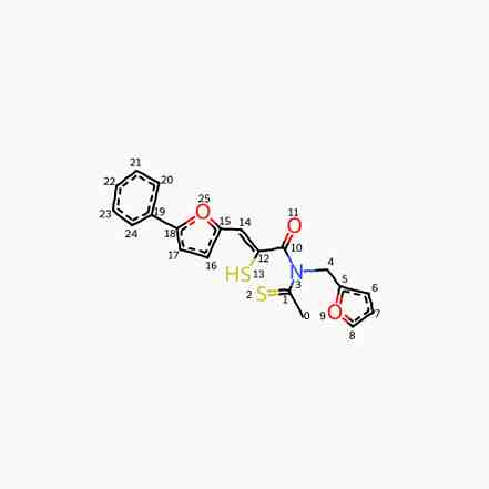 CC(=S)N(Cc1ccco1)C(=O)/C(S)=C/c1ccc(-c2ccccc2)o1